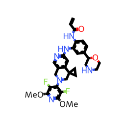 C=CC(=O)Nc1ccc(C2CNCCO2)cc1Nc1cc2c(cn1)CN(c1c(F)c(OC)nc(OC)c1F)CC21CC1